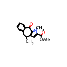 COC(=O)c1cc2c(n1C)C(=O)c1ccccc1CC2C